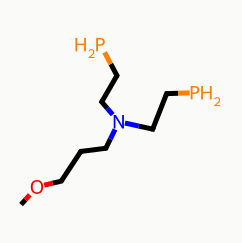 COCCCN(CCP)CCP